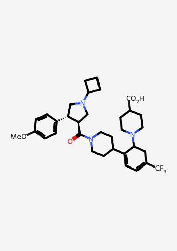 COc1ccc([C@@H]2CN(C3CCC3)C[C@H]2C(=O)N2CCC(C3=CC=C(C(F)(F)F)CC3N3CCC(C(=O)O)CC3)CC2)cc1